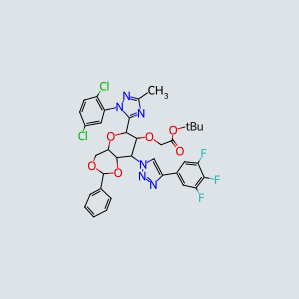 Cc1nc(C2OC3COC(c4ccccc4)OC3C(n3cc(-c4cc(F)c(F)c(F)c4)nn3)C2OCC(=O)OC(C)(C)C)n(-c2cc(Cl)ccc2Cl)n1